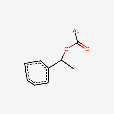 CC(=O)C(=O)OC(C)c1ccccc1